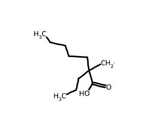 [CH2]C(CCC)(CCCCC)C(=O)O